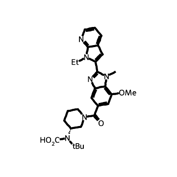 CCn1c(-c2nc3cc(C(=O)N4CCC[C@@H](N(C(=O)O)C(C)(C)C)C4)cc(OC)c3n2C)cc2cccnc21